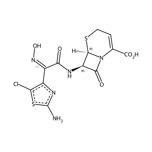 Nc1nc(/C(=N/O)C(=O)N[C@@H]2C(=O)N3C(C(=O)O)=CCS[C@H]23)c(Cl)s1